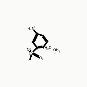 Bc1cccc(S(C)(=O)=O)c1.O.O